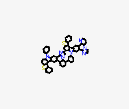 c1ccc(-n2c3cc4c(cc3c3c5c(ccc32)sc2ccccc25)c2cccc(-c3cccc(-n5c6cc7c(cc6c6c8c(ccc65)sc5ccccc58)c5ncccc5n5ccnc75)c3)c2n2ccnc42)cc1